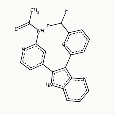 CC(=O)Nc1cc(-c2[nH]c3cccnc3c2-c2cccc(C(F)F)n2)ccn1